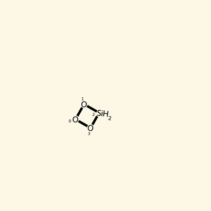 O1O[SiH2]O1